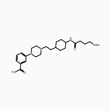 COCCCC(=O)NC1CCC(CCN2CCN(c3cccc(C(N)=O)c3)CC2)CC1